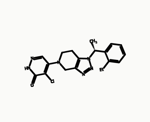 CCc1ccccc1[C@@H](C)n1nnc2c1CCN(c1cn[nH]c(=O)c1Cl)C2